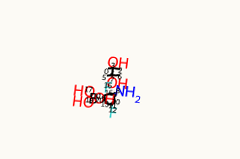 CC(C)(O)C(C)(C)O.Nc1cc(F)ccc1F.OB(O)O